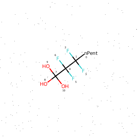 CCCCCC(F)(F)C(F)(F)C(O)(O)O